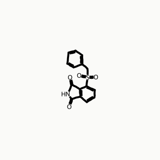 O=C1NC(=O)c2c1cccc2S(=O)(=O)Cc1ccccc1